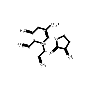 C=C1CCOC1=O.C=CCC(=CN(CC=C)CC=C)C(=O)O